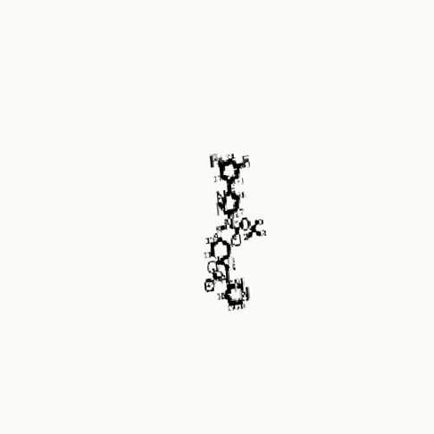 CC(C)(C)OC(=O)N(C[C@H]1CC[C@]2(CC1)CN(c1cccnn1)C(=O)O2)c1ccc(-c2cc(F)cc(F)c2)nn1